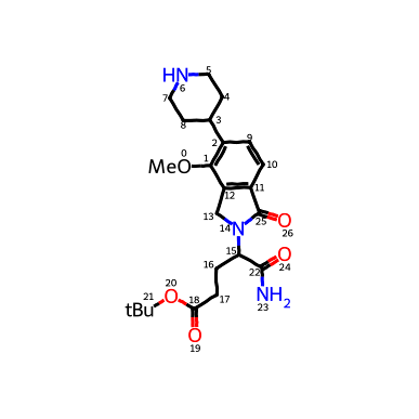 COc1c(C2CCNCC2)ccc2c1CN(C(CCC(=O)OC(C)(C)C)C(N)=O)C2=O